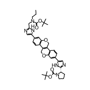 CCCN(Cc1ncc(-c2ccc3c(c2)OCC2=C3COc3cc(-c4cnc([C@@H]5CCCN5C(=O)OC(C)(C)C)[nH]4)ccc32)[nH]1)C(=O)OC(C)(C)C